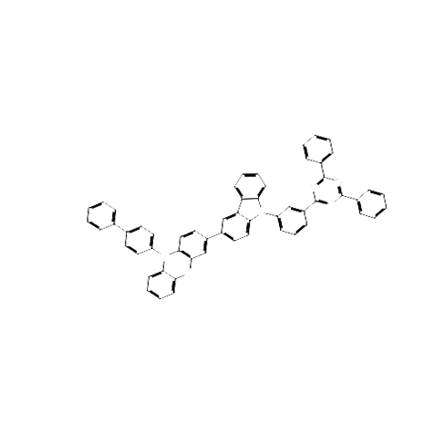 c1ccc(-c2ccc(N3c4ccccc4Oc4cc(-c5ccc6c(c5)c5ccccc5n6-c5cccc(-c6nc(-c7ccccc7)nc(-c7ccccc7)n6)c5)ccc43)cc2)cc1